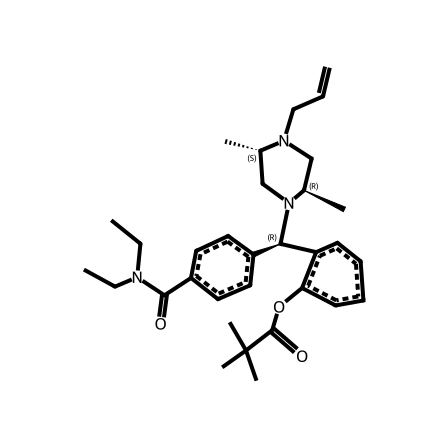 C=CCN1C[C@@H](C)N([C@H](c2ccc(C(=O)N(CC)CC)cc2)c2ccccc2OC(=O)C(C)(C)C)C[C@@H]1C